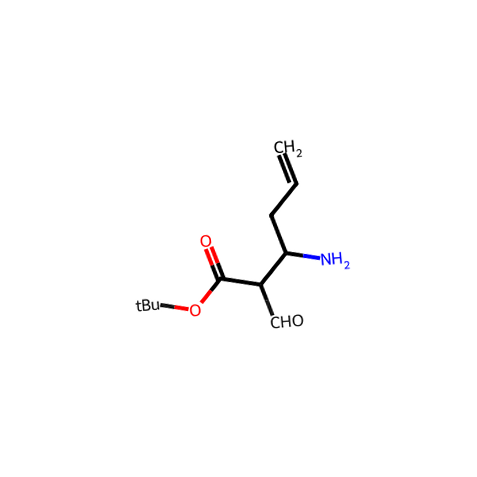 C=CCC(N)C(C=O)C(=O)OC(C)(C)C